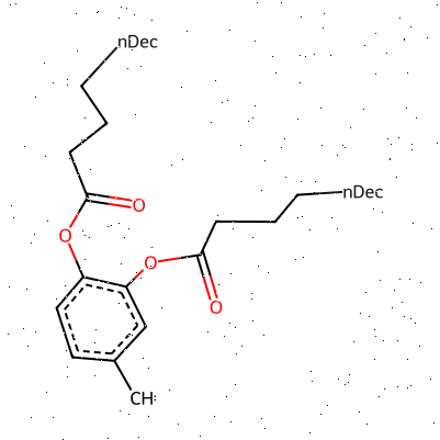 [CH]c1ccc(OC(=O)CCCCCCCCCCCCC)c(OC(=O)CCCCCCCCCCCCC)c1